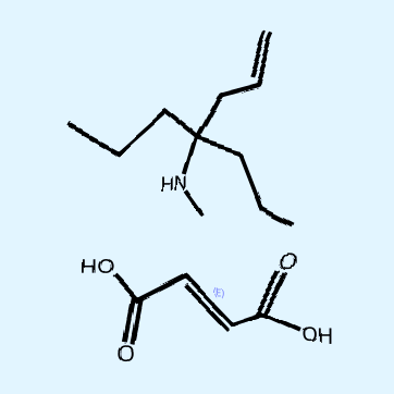 C=CCC(CCC)(CCC)NC.O=C(O)/C=C/C(=O)O